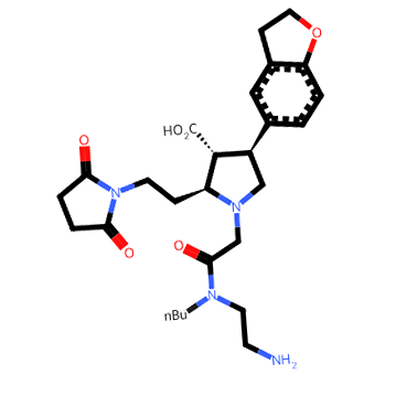 CCCCN(CCN)C(=O)CN1C[C@H](c2ccc3c(c2)CCO3)[C@@H](C(=O)O)[C@@H]1CCN1C(=O)CCC1=O